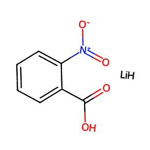 O=C(O)c1ccccc1[N+](=O)[O-].[LiH]